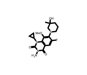 COc1c(N2CCCC(C)(O)C2)c(F)cc2c(=O)n(N)c(=O)n(C3CC3)c12